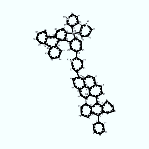 c1ccc(-c2c3ccccc3c(-c3ccc4ccc5c(-c6ccc(-c7ccc8c(c7)-c7c(ccc9c%10ccccc%10c%10ccccc%10c79)[Si]8(c7cccnc7)c7cccnc7)nc6)ccc6ccc3c4c65)c3ccccc23)cc1